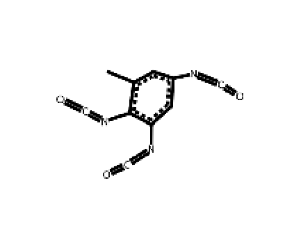 Cc1cc(N=C=O)cc(N=C=O)c1N=C=O